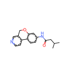 CC(C)CC(=O)Nc1ccc2c(c1)OCc1cnccc1-2